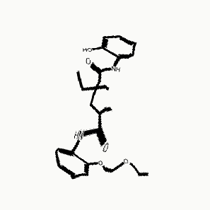 CCOCOc1ccccc1NC(=O)C(C)CC(C)(CC)C(=O)Nc1ccccc1O